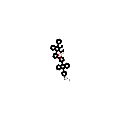 C=Cc1c(/C=C\C)c(-c2cccc3c2oc2ccc(-c4c5ccccc5c(-c5ccc(C(F)(F)F)cc5)c5ccccc45)cc23)c2ccccc2c1-c1ccccc1